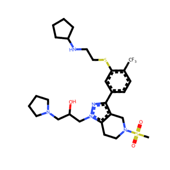 CS(=O)(=O)N1CCc2c(c(-c3ccc(C(F)(F)F)c(SCCNC4CCCC4)c3)nn2CC(O)CN2CCCC2)C1